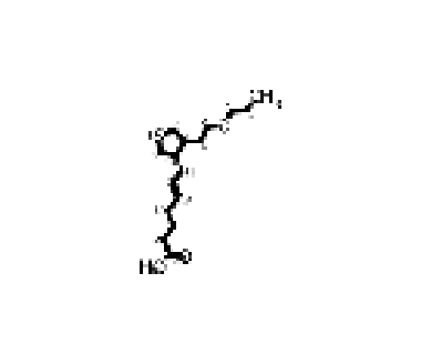 CCCOCC[C@@H]1CSC[C@@H]1CC=CCCCC(=O)O